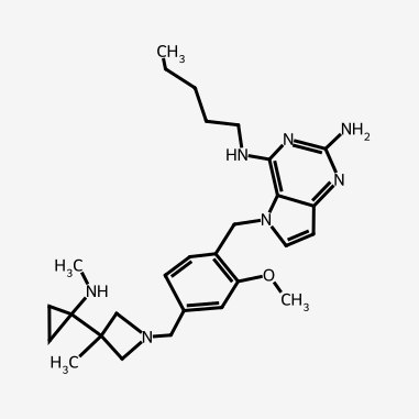 CCCCCNc1nc(N)nc2ccn(Cc3ccc(CN4CC(C)(C5(NC)CC5)C4)cc3OC)c12